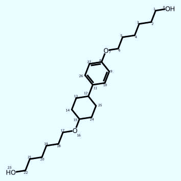 OCCCCCCOc1ccc(C2CCC(OCCCCCCO)CC2)cc1